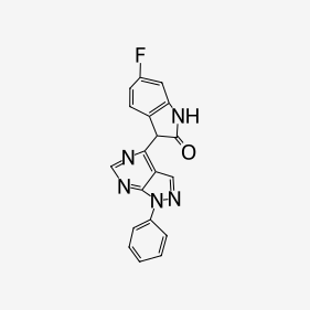 O=C1Nc2cc(F)ccc2C1c1ncnc2c1cnn2-c1ccccc1